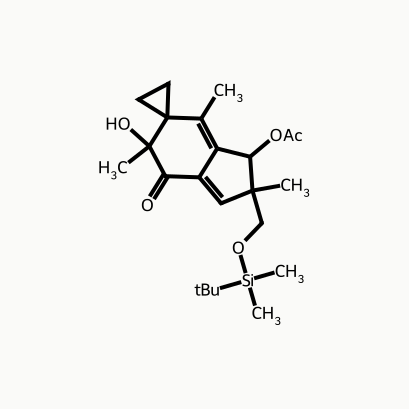 CC(=O)OC1C2=C(C)C3(CC3)C(C)(O)C(=O)C2=CC1(C)CO[Si](C)(C)C(C)(C)C